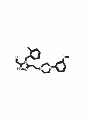 COc1cccc(N2CCN(CCC3=NNC(C=O)N3Cc3ccccc3C)CC2)c1